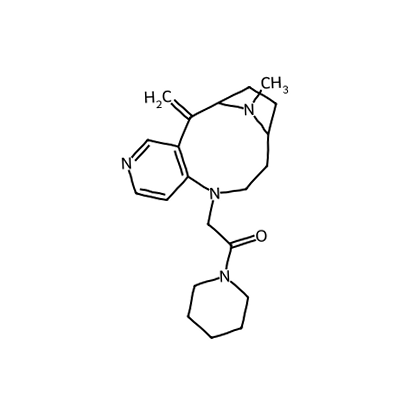 C=C1c2cnccc2N(CC(=O)N2CCCCC2)CCC2CCC1N2C